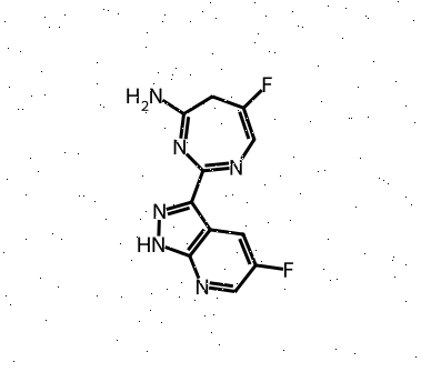 NC1=NC(c2n[nH]c3ncc(F)cc23)=NC=C(F)C1